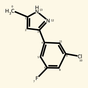 Cc1cc(-c2cc(F)cc(Cl)c2)n[nH]1